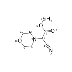 N#CC(C(=O)O[SiH3])N1CCOCC1